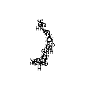 CC(C)(C)OC(=O)NC1C2CN(CC3CCC(n4ccc(NC(=O)N5CCN(C(=O)C(C)(C)NC(=O)OC(C)(C)C)CC5)nc4=O)CC3)CC21